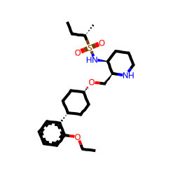 CCOc1ccccc1[C@H]1CC[C@@H](OC[C@@H]2NCCC[C@@H]2NS(=O)(=O)[C@@H](C)CC)CC1